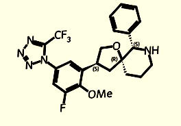 COc1c(F)cc(-n2nnnc2C(F)(F)F)cc1[C@H]1CO[C@]2(CCCN[C@H]2c2ccccc2)C1